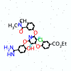 CCOC(=O)c1ccc(Oc2c(F)c(Oc3cccc(C(=O)N(C)C)c3)nc(Oc3cc(C(=N)N)ccc3O)c2F)c(Cl)c1